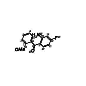 COc1ccccc1C(=O)c1ccc(F)cc1N